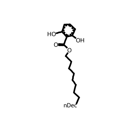 CCCCCCCCCCCCCCCCCCOC(=O)c1c(O)cccc1O